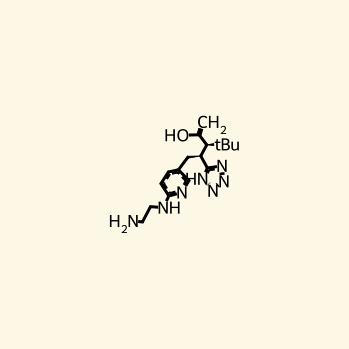 C=C(O)[C@H]([C@H](Cc1ccc(NCCN)nc1)c1nnn[nH]1)C(C)(C)C